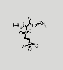 COC(=O)C(C)S(=O)(=O)CCS(=O)(=O)F